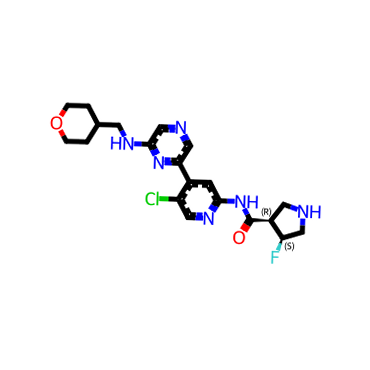 O=C(Nc1cc(-c2cncc(NCC3CCOCC3)n2)c(Cl)cn1)[C@H]1CNC[C@H]1F